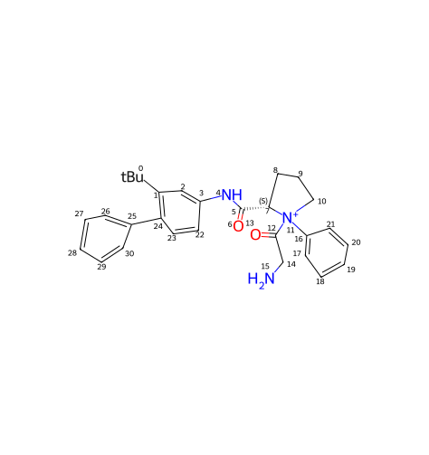 CC(C)(C)c1cc(NC(=O)[C@@H]2CCC[N+]2(C(=O)CN)c2ccccc2)ccc1-c1ccccc1